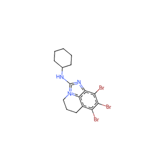 Brc1c(Br)c2c3c(nc(NC4CCCCC4)n3CCC2)c1Br